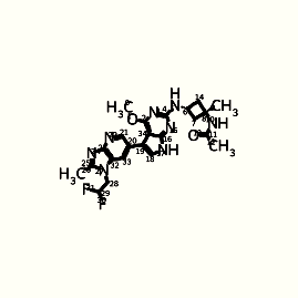 COc1nc(N[C@H]2C[C@@](C)(NC(C)=O)C2)nc2[nH]cc(-c3cnc4nc(C)n(CC(F)F)c4c3)c12